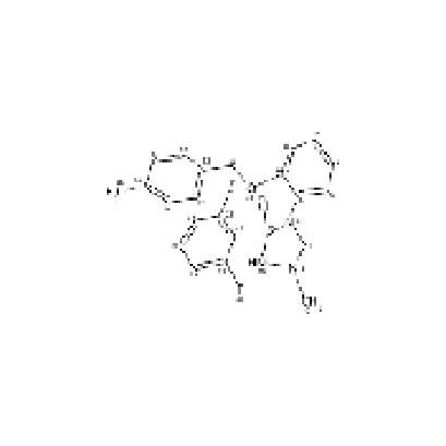 CN1CN(c2ccccc2OCc2ccc(C(F)(F)F)cc2)C(Cl)(c2c(F)cccc2F)N1